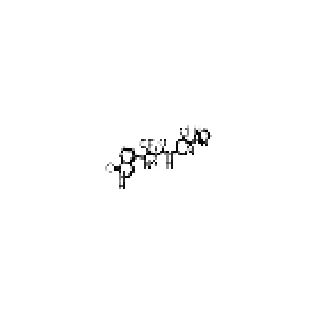 O=C(Nc1cnc(-n2nccn2)c(Cl)c1)c1snc(-c2cccc3c(=O)[nH]ccc23)c1C(F)(F)F